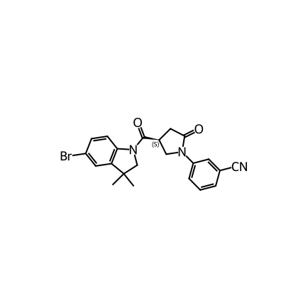 CC1(C)CN(C(=O)[C@H]2CC(=O)N(c3cccc(C#N)c3)C2)c2ccc(Br)cc21